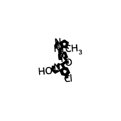 C[C@@H]1CCc2ncnc(N3CCN(C(=O)[C@@H](CN4CC[C@@H](O)C4)c4ccc(Cl)cc4)CC3)c21